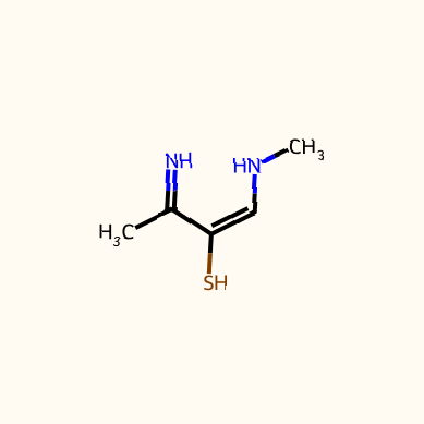 CN/C=C(/S)C(C)=N